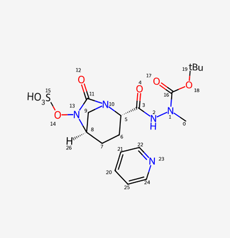 CN(NC(=O)[C@@H]1CC[C@@H]2CN1C(=O)N2OS(=O)(=O)O)C(=O)OC(C)(C)C.c1ccncc1